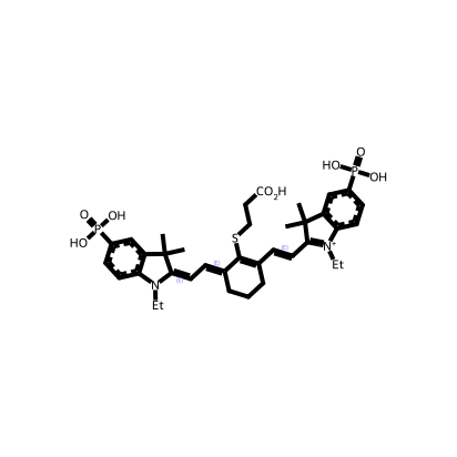 CCN1/C(=C/C=C2\CCCC(/C=C/C3=[N+](CC)c4ccc(P(=O)(O)O)cc4C3(C)C)=C2SCCC(=O)O)C(C)(C)c2cc(P(=O)(O)O)ccc21